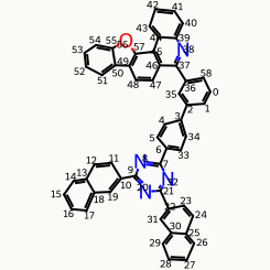 c1cc(-c2ccc(-c3nc(-c4ccc5ccccc5c4)nc(-c4ccc5ccccc5c4)n3)cc2)cc(-c2nc3ccccc3c3c2ccc2c4ccccc4oc23)c1